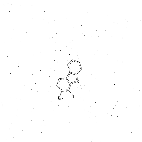 Brc1ccc2c(sc3ccccc32)c1I